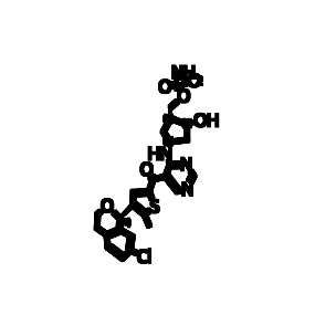 Cc1sc(C(=O)c2cncnc2N[C@@H]2C[C@H](COS(N)(=O)=O)[C@@H](O)C2)cc1[C@@H]1OCCc2ccc(Cl)cc21